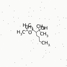 CCCCC(C(CC)OC(C)C)C(C)(C)O